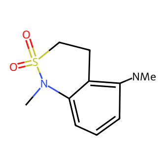 CNc1cccc2c1CCS(=O)(=O)N2C